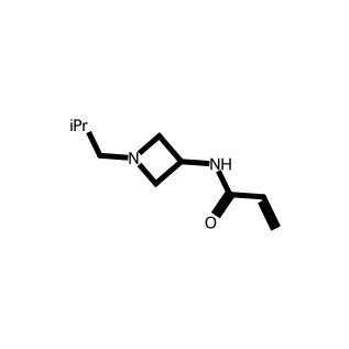 C=CC(=O)NC1CN(CC(C)C)C1